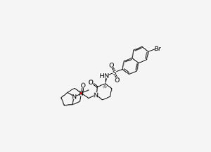 CN1CC2CCC(C1)N2C(=O)CN1CCC[C@H](NS(=O)(=O)c2ccc3cc(Br)ccc3c2)C1=O